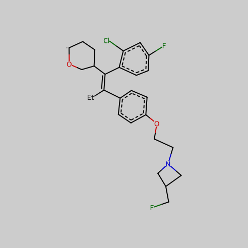 CC/C(=C(/c1ccc(F)cc1Cl)C1CC[CH]OC1)c1ccc(OCCN2CC(CF)C2)cc1